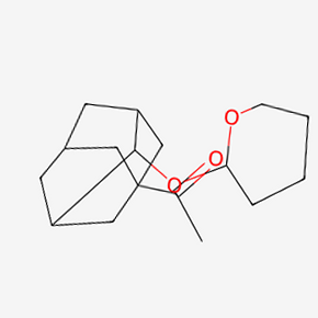 CC(=O)C12CC3CC(C1)C(OC1CCCCO1)C(C3)C2